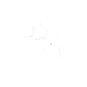 CN1CCCC(N)(c2cccc(OC(F)(F)F)c2)C1